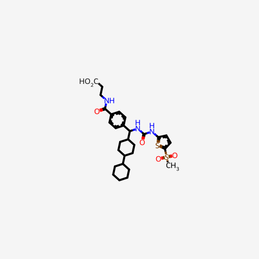 CS(=O)(=O)c1ccc(NC(=O)NC(c2ccc(C(=O)NCCC(=O)O)cc2)C2CCC(C3CCCCC3)CC2)s1